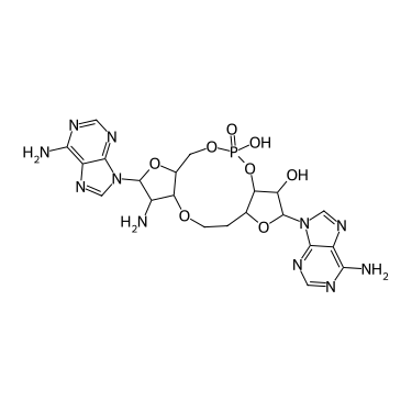 Nc1ncnc2c1ncn2C1OC2COP(=O)(O)OC3C(CCOC2C1N)OC(n1cnc2c(N)ncnc21)C3O